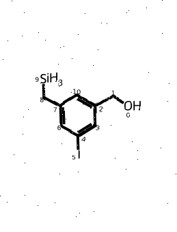 OCc1cc(I)cc(C[SiH3])c1